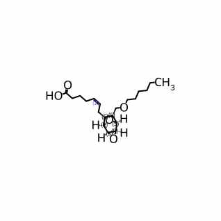 CCCCCCOC[C@@H]1[C@H](C/C=C\CCCC(=O)O)[C@H]2O[C@@H]1[C@H]1O[C@H]12